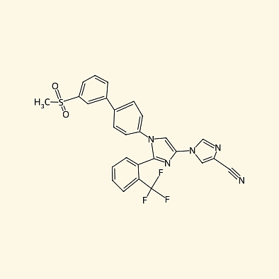 CS(=O)(=O)c1cccc(-c2ccc(-n3cc(-n4cnc(C#N)c4)nc3-c3ccccc3C(F)(F)F)cc2)c1